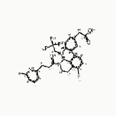 Cc1cccc(CCC(=O)N2CCc3c(F)ccc(-c4cc(CC(=O)O)ccc4OCC(F)(F)F)c3C2)n1